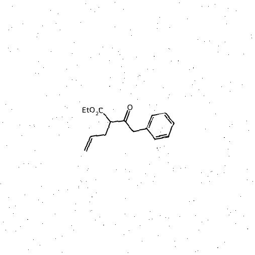 C=CCC(C(=O)Cc1ccccc1)C(=O)OCC